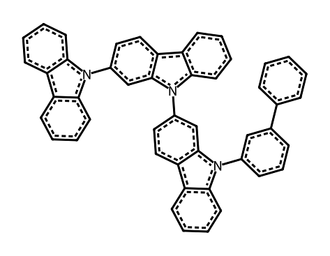 c1ccc(-c2cccc(-n3c4ccccc4c4ccc(-n5c6ccccc6c6ccc(-n7c8ccccc8c8ccccc87)cc65)cc43)c2)cc1